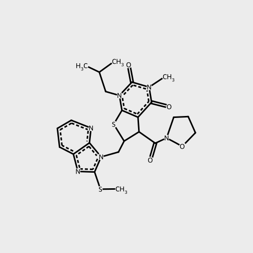 CSc1nc2cccnc2n1CC1Sc2c(c(=O)n(C)c(=O)n2CC(C)C)C1C(=O)N1CCCO1